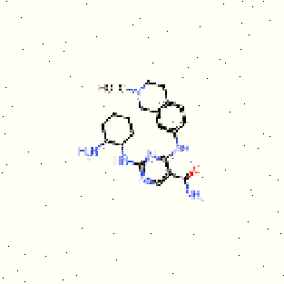 NC(=O)c1cnc(N[C@@H]2CCCC[C@@H]2N)nc1Nc1ccc2c(c1)CN(C(=O)O)CC2